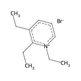 CCc1ccc[n+](CC)c1CC.[Br-]